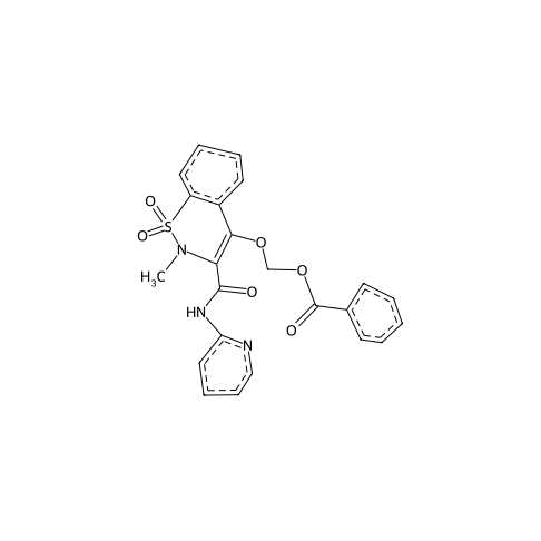 CN1C(C(=O)Nc2ccccn2)=C(OCOC(=O)c2ccccc2)c2ccccc2S1(=O)=O